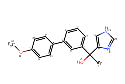 CC(C)C(O)(c1cccc(-c2ccc(OC(F)(F)F)cc2)c1)c1c[nH]cn1